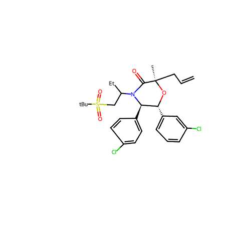 C=CC[C@@]1(C)O[C@H](c2cccc(Cl)c2)[C@@H](c2ccc(Cl)cc2)N(C(CC)CS(=O)(=O)C(C)(C)C)C1=O